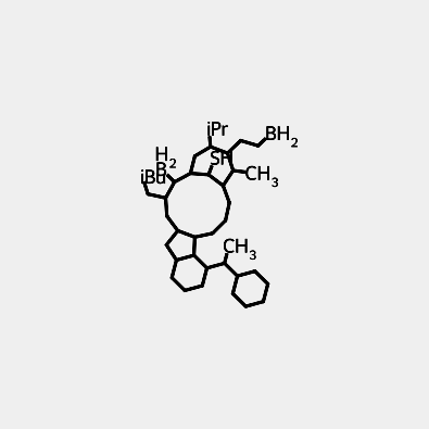 BCCC1C(C)C2CCCC3C(CC(CC(C)CC)C(B)C(CC1C(C)C)C2S)CC1CCCC(C(C)C2CCCCC2)C13